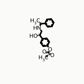 C[C@H](NC[C@@H](O)c1ccc(OS(C)(=O)=O)cc1)c1ccccc1